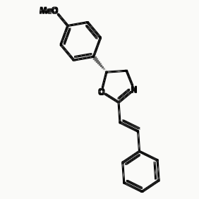 COc1ccc([C@@H]2CN=C(/C=C/c3ccccc3)O2)cc1